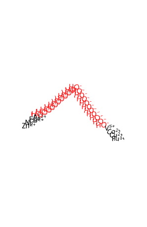 [Al+3].[Co+2].[Cu+2].[Fe+2].[Ni+2].[OH-].[OH-].[OH-].[OH-].[OH-].[OH-].[OH-].[OH-].[OH-].[OH-].[OH-].[OH-].[OH-].[OH-].[OH-].[OH-].[OH-].[OH-].[OH-].[OH-].[OH-].[Ru+3].[V+5].[Zn+2]